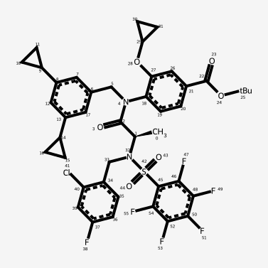 C[C@H](C(=O)N(Cc1cc(C2CC2)cc(C2CC2)c1)c1ccc(C(=O)OC(C)(C)C)cc1OC1CC1)N(Cc1ccc(F)cc1Cl)S(=O)(=O)c1c(F)c(F)c(F)c(F)c1F